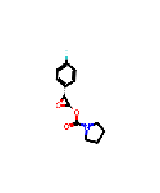 O=C(O[C@@H]1O[C@@H]1c1ccc(F)cc1)N1CCCC1